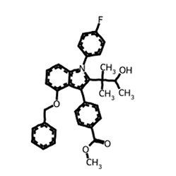 COC(=O)c1ccc(-c2c(C(C)(C)C(C)O)n(-c3ccc(F)cc3)c3cccc(OCc4ccccc4)c23)cc1